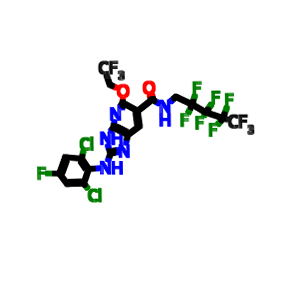 O=C(NCC(F)(F)C(F)(F)C(F)(F)C(F)(F)F)c1cc2nc(Nc3c(Cl)cc(F)cc3Cl)[nH]c2nc1OCC(F)(F)F